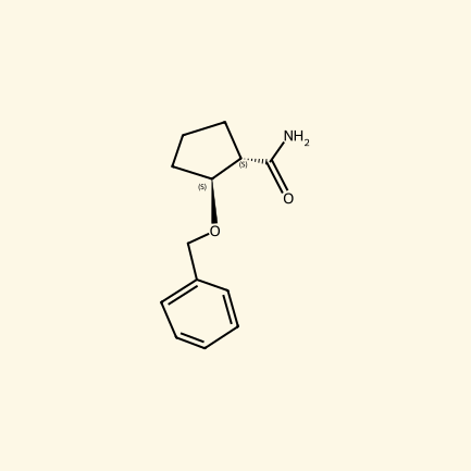 NC(=O)[C@H]1CCC[C@@H]1OCc1ccccc1